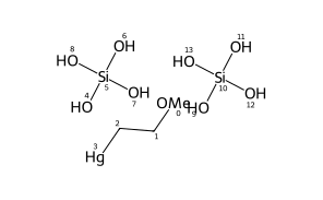 COC[CH2][Hg].O[Si](O)(O)O.O[Si](O)(O)O